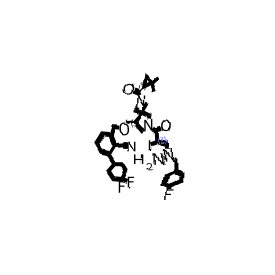 CC1(C)C[C@@H]1C(=O)N1CC2(CN(C(=O)/C(I)=C/N(N)Cc3ccc(F)cc3)C[C@H]2COCc2cccc(C3CCC(F)(F)CC3)c2C#N)C1